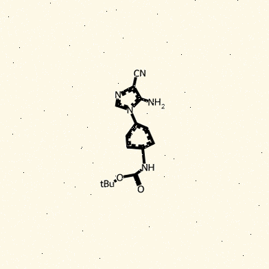 CC(C)(C)OC(=O)Nc1ccc(-n2cnc(C#N)c2N)cc1